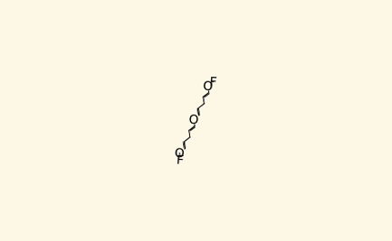 FOC=CCC=COC=CCC=COF